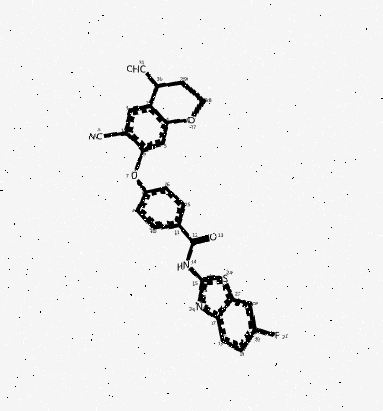 N#Cc1cc2c(cc1Oc1ccc(C(=O)Nc3nc4ccc(F)cc4s3)cc1)OCCC2C=O